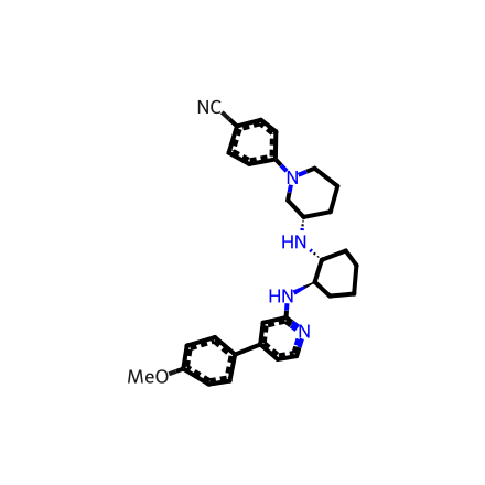 COc1ccc(-c2ccnc(N[C@@H]3CCCC[C@H]3N[C@H]3CCCN(c4ccc(C#N)cc4)C3)c2)cc1